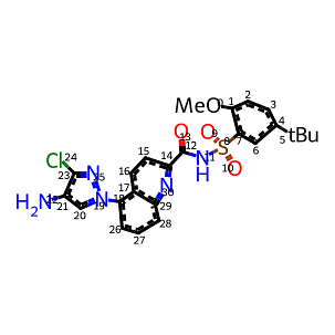 COc1ccc(C(C)(C)C)cc1S(=O)(=O)NC(=O)c1ccc2c(-n3cc(N)c(Cl)n3)cccc2n1